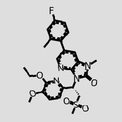 CCOc1nc([C@@H](CS(C)(=O)=O)n2c(=O)n(C)c3cc(-c4ccc(F)cc4C)cnc32)ccc1OC